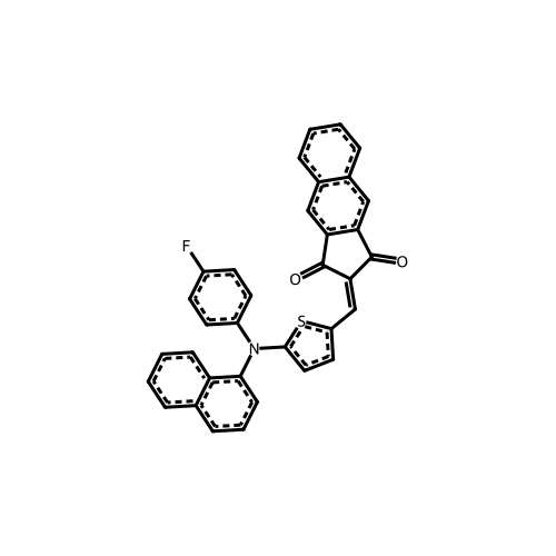 O=C1C(=Cc2ccc(N(c3ccc(F)cc3)c3cccc4ccccc34)s2)C(=O)c2cc3ccccc3cc21